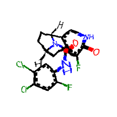 O=C(Nc1cc(Cl)c(Cl)cc1F)N1[C@H]2CC[C@@H]1c1c[nH]c(=O)c(F)c1C2